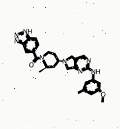 COc1cc(C)cc(Nc2ncc3c(n2)CN([C@@H]2CCN(C(=O)c4ccc5[nH]nnc5c4)[C@H](C)C2)C3)c1